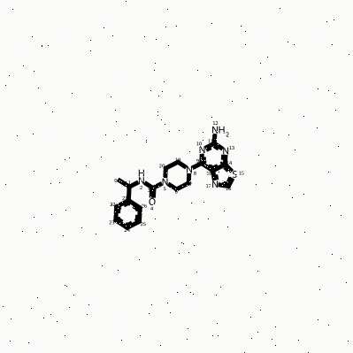 CC(NC(=O)N1CCN(c2nc(N)nc3scnc23)CC1)c1ccccc1